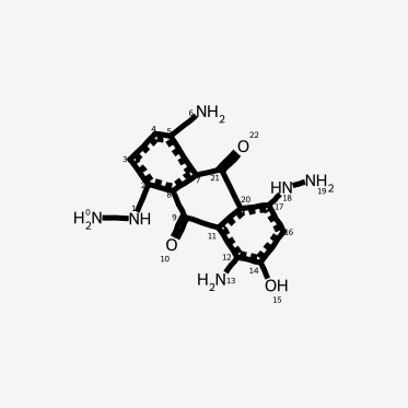 NNc1ccc(N)c2c1C(=O)c1c(N)c(O)cc(NN)c1C2=O